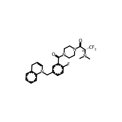 CN(C)[C@H](C(=O)N1CCN(C(=O)c2cc(CN3C=CCc4ccccc43)ccc2F)CC1)C(F)(F)F